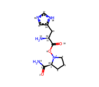 NC(=O)[C@@H]1CCCN1OC(=O)[C@@H](N)Cc1cnc[nH]1